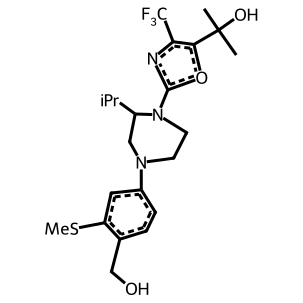 CSc1cc(N2CCN(c3nc(C(F)(F)F)c(C(C)(C)O)o3)C(C(C)C)C2)ccc1CO